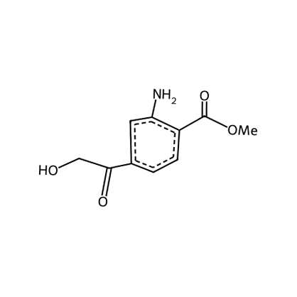 COC(=O)c1ccc(C(=O)CO)cc1N